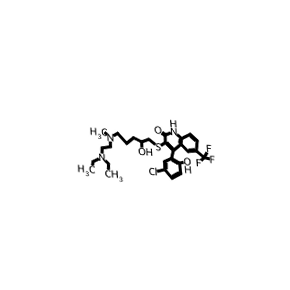 CCN(CC)CCN(C)CCCC(O)CSc1c(-c2cc(Cl)ccc2O)c2cc(C(F)(F)F)ccc2[nH]c1=O